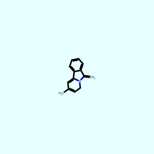 C=c1c2ccccc2c2n1CC=C(C)C=2